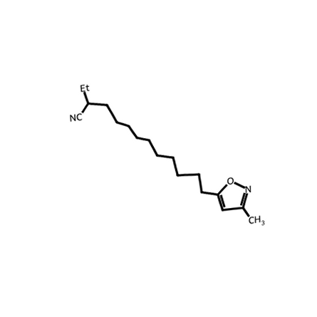 CCC(C#N)CCCCCCCCCCc1cc(C)no1